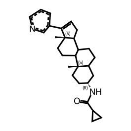 C[C@]12CC[C@@H](NC(=O)C3CC3)CC1CCC1C2CC[C@]2(C)C(c3cccnc3)=CCC12